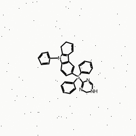 C1=Cc2c(n(-c3ccccc3)c3ccc(S(C4=NCNC=N4)(c4ccccc4)c4ccccc4)cc23)CC1